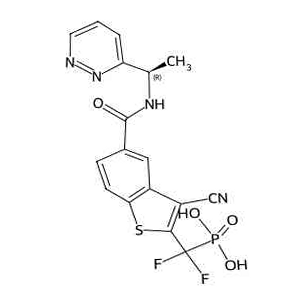 C[C@@H](NC(=O)c1ccc2sc(C(F)(F)P(=O)(O)O)c(C#N)c2c1)c1cccnn1